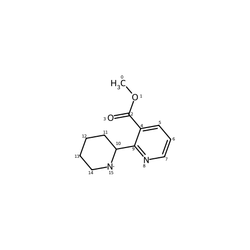 COC(=O)c1cccnc1C1CCCC[N]1